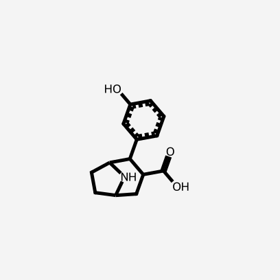 O=C(O)C1CC2CCC(N2)C1c1cccc(O)c1